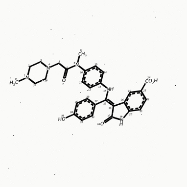 CN1CCN(CC(=O)N(C)c2ccc(NC(=C3C(=O)Nc4ccc(C(=O)O)cc43)c3ccc(O)cc3)cc2)CC1